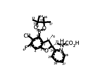 C[C@H]1c2c(cc(F)c(Cl)c2B2OC(C)(C)C(C)(C)O2)O[C@]1(CNC(=O)O)c1ccccn1